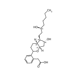 CCCCC[C@H](O)CC[C@@H]1[C@H]2CCC(c3ccccc3CC(=O)O)O[C@H]2C[C@H]1O